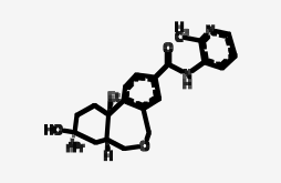 CCC[C@]1(O)CC[C@]2(CC)c3ccc(C(=O)Nc4cccnc4C)cc3COC[C@@H]2C1